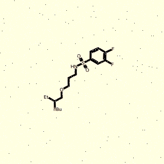 CCCCC(CC)COCCCNS(=O)(=O)c1ccc(F)c(F)c1